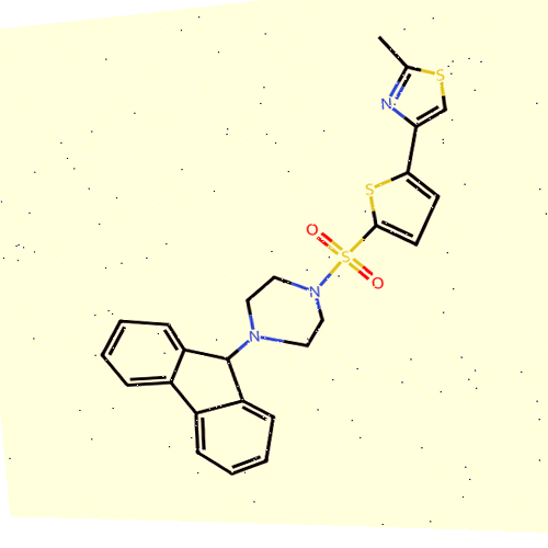 Cc1nc(-c2ccc(S(=O)(=O)N3CCN(C4c5ccccc5-c5ccccc54)CC3)s2)cs1